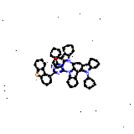 c1ccc(-c2nc(-c3cccc4sc5ccccc5c34)nc(-n3c4ccccc4c4c3c(-n3c5ccccc5c5ccccc53)cc3c5ccccc5n(-c5ccccc5)c34)n2)cc1